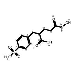 CS(=O)(=O)c1ccc(CC(CCC(=O)NO)C(=O)O)cc1